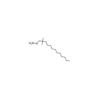 CCCCCCCCCCCC(C)(C)CO[SiH3]